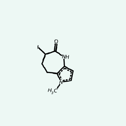 Cn1ccc2c1CCC(I)C(=O)N2